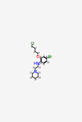 ClCCCCOc1cc(Br)ccc1NCCN1CCCCC1